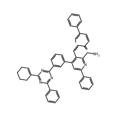 C=C(/C=C\C(=C/C)c1ccccc1)/C=C\c1c(-c2cccc(-c3nc(C4=CCCCC4)nc(-c4ccccc4)n3)c2)cc(-c2ccccc2)nc1CN